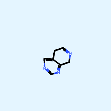 C1=NCc2ncncc2C1